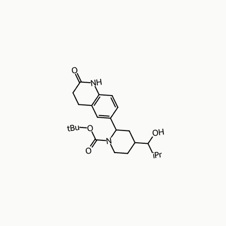 CC(C)C(O)C1CCN(C(=O)OC(C)(C)C)C(c2ccc3c(c2)CCC(=O)N3)C1